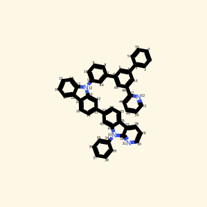 c1ccc(-c2cc(-c3cccc(-n4c5ccccc5c5ccc(-c6ccc7c8cccnc8n(-c8ccccc8)c7c6)cc54)c3)cc(-c3ccccn3)c2)cc1